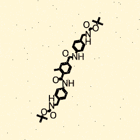 Cc1cc(C(=O)Nc2ccc(CNC(=O)OC(C)(C)C)cc2)ccc1C(=O)Nc1ccc(CNC(=O)OC(C)(C)C)cc1